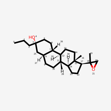 CCC[C@@]1(O)CC[C@H]2[C@@H](CC[C@@H]3[C@@H]2CC[C@]2(C)[C@@H](C4(C)CO4)CC[C@@H]32)C1